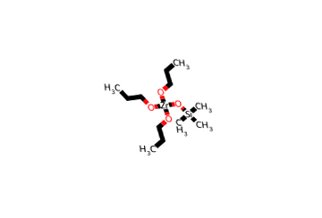 CCC[O][Zr]([O]CCC)([O]CCC)[O][Si](C)(C)C